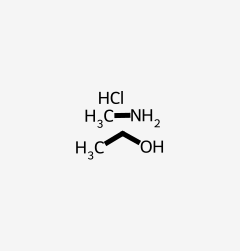 CCO.CN.Cl